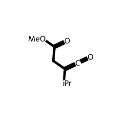 COC(=O)CC(=C=O)C(C)C